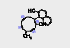 C=C1/C=C\C=C/C/C(c2c(O)ccc3ccccc23)=C(O)\C=C/1